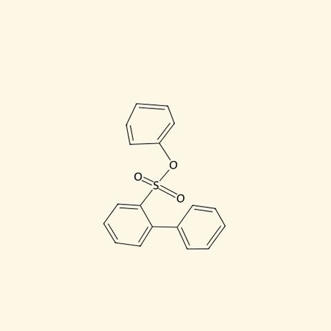 O=S(=O)(Oc1ccccc1)c1ccccc1-c1ccccc1